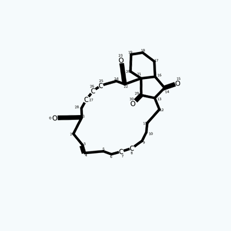 O=C1C/C=C/CCCCCCCCC2C(=O)C3CCCCC3(C(=O)CCCCC1)C2=O